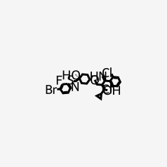 N=C(/C(CO[C@H]1CC[C@](O)(c2nc3ccc(Br)c(F)c3s2)CC1)=C(\O)C1CC1)c1c(Cl)cccc1Cl